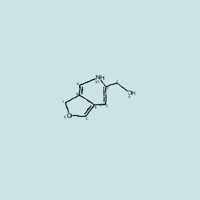 OCC1=CC2=COCC2=CN1